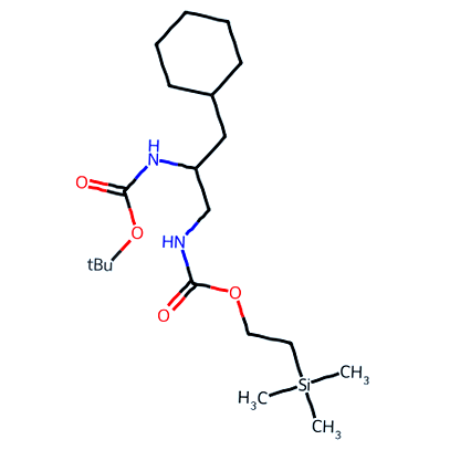 CC(C)(C)OC(=O)NC(CNC(=O)OCC[Si](C)(C)C)CC1CCCCC1